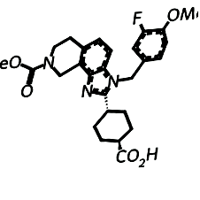 COC(=O)N1CCc2ccc3c(nc([C@H]4CC[C@H](C(=O)O)CC4)n3Cc3ccc(OC)c(F)c3)c2C1